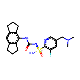 CN(C)Cc1cnc([S@@](N)(=O)=NC(=O)Nc2c3c(cc4c2CCC4)CCC3)c(F)c1